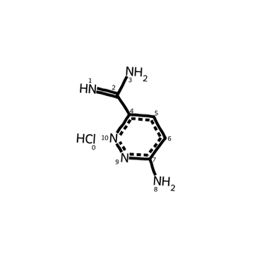 Cl.N=C(N)c1ccc(N)nn1